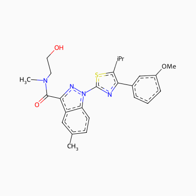 COc1cccc(-c2nc(-n3nc(C(=O)N(C)CCO)c4cc(C)ccc43)sc2C(C)C)c1